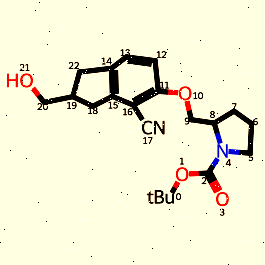 CC(C)(C)OC(=O)N1CCCC1COc1ccc2c(c1C#N)CC(CO)C2